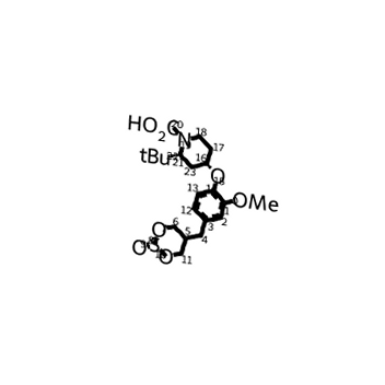 COc1cc(CC2COS(=O)OC2)ccc1O[C@@H]1CCN(C(=O)O)[C@H](C(C)(C)C)C1